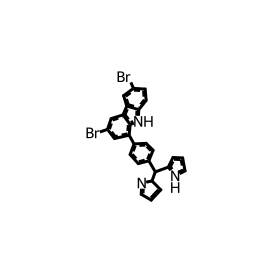 Brc1ccc2[nH]c3c(-c4ccc(C(c5ccc[nH]5)C5C=CC=N5)cc4)cc(Br)cc3c2c1